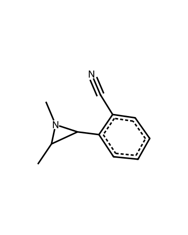 CC1C(c2ccccc2C#N)N1C